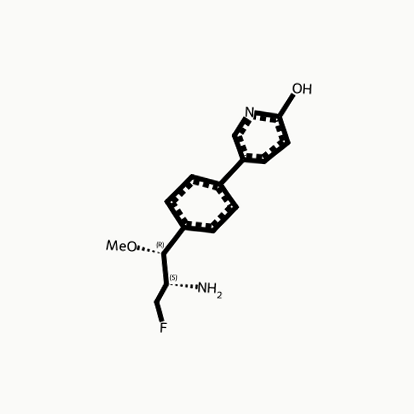 CO[C@H](c1ccc(-c2ccc(O)nc2)cc1)[C@H](N)CF